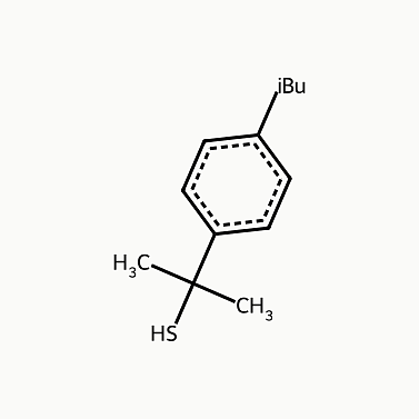 CCC(C)c1ccc(C(C)(C)S)cc1